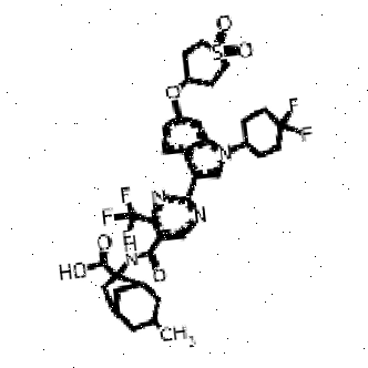 CC1CC2CC(C1)C(NC(=O)c1cnc(-c3cn(C4CCC(F)(F)CC4)c4cc(OC5CCS(=O)(=O)CC5)ccc34)nc1C(F)(F)F)(C(=O)O)C2